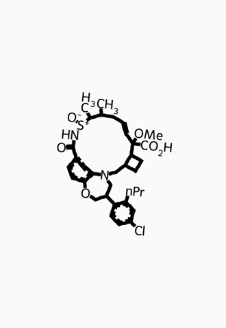 CCCc1cc(Cl)ccc1C1COc2ccc3cc2N(C1)CC1CCC1C(OC)(C(=O)O)/C=C/CC(C)C(C)[S+]([O-])NC3=O